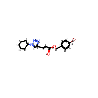 O=C(/C=C/c1cn(C2CCCCC2)nn1)OCc1ccc(Br)cc1